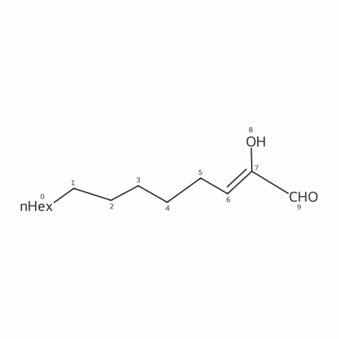 CCCCCCCCCCCC=C(O)C=O